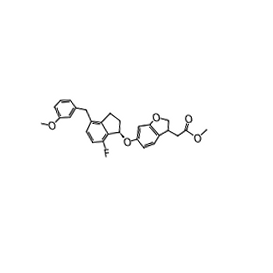 COC(=O)CC1COc2cc(O[C@@H]3CCc4c(Cc5cccc(OC)c5)ccc(F)c43)ccc21